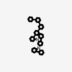 c1ccc(-c2cccc(-c3cccc(-c4ccc(-c5ccccc5-n5c6ccccc6c6ccc(-n7c8ccccc8c8ccccc87)cc65)cc4)c3)c2)cc1